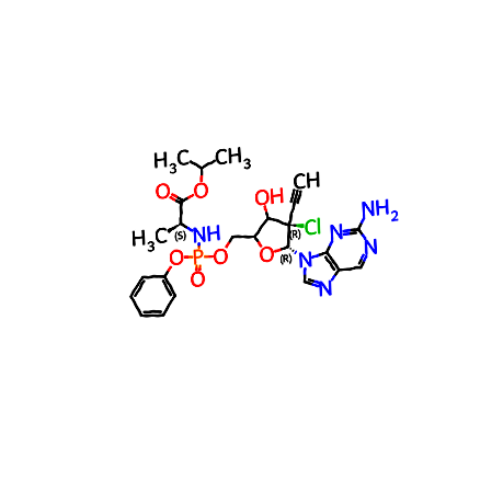 C#C[C@@]1(Cl)C(O)C(COP(=O)(N[C@@H](C)C(=O)OC(C)C)Oc2ccccc2)O[C@H]1n1cnc2cnc(N)nc21